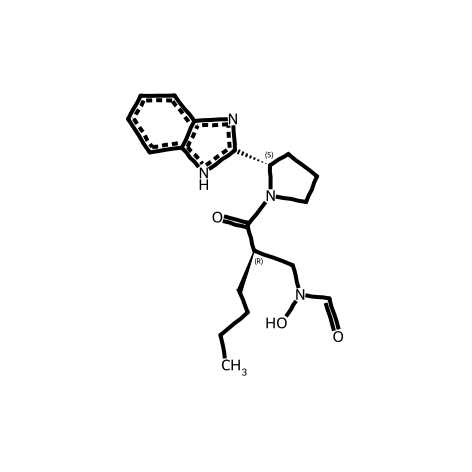 CCCC[C@H](CN(O)C=O)C(=O)N1CCC[C@H]1c1nc2ccccc2[nH]1